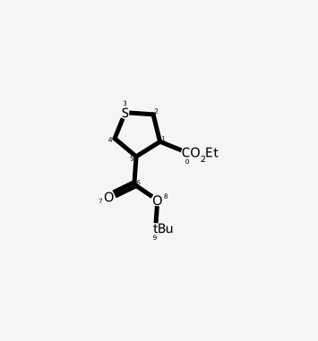 CCOC(=O)C1CSCC1C(=O)OC(C)(C)C